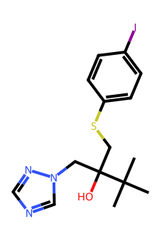 CC(C)(C)C(O)(CSc1ccc(I)cc1)Cn1cncn1